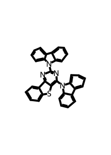 c1ccc2c(c1)sc1c(-n3c4ccccc4c4ccccc43)nc(-n3c4ccccc4c4ccccc43)nc12